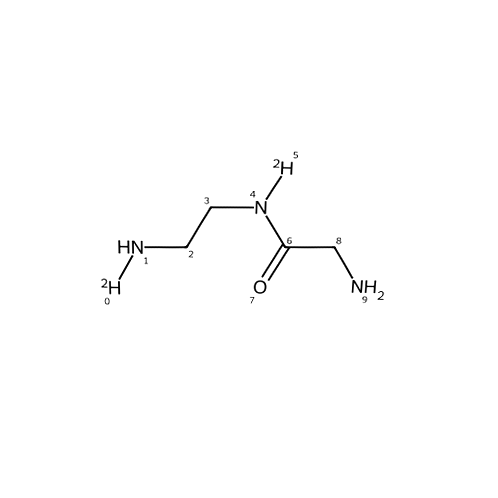 [2H]NCCN([2H])C(=O)CN